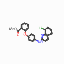 COC(=O)c1ccccc1Oc1ccc(Nc2ccc3cccc(Cl)c3n2)cc1